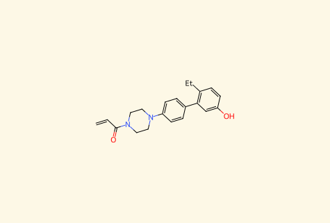 C=CC(=O)N1CCN(c2ccc(-c3cc(O)ccc3CC)cc2)CC1